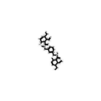 C=CC1C(CC)C=CC(C)C1C(=C)N(C)Cc1cccc(CN(C)C(=C)C2C(C)C=CC(CC)C2C=C)c1